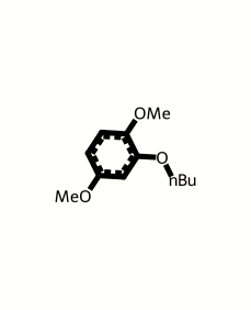 CCCCOc1cc(OC)ccc1OC